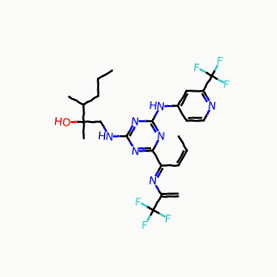 C=C(/N=C(\C=C/C)c1nc(NCC(C)(O)C(C)CCC)nc(Nc2ccnc(C(F)(F)F)c2)n1)C(F)(F)F